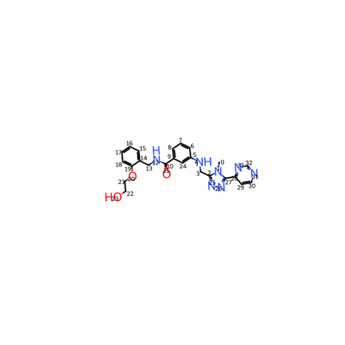 Cn1c(CNc2cccc(C(=O)NCc3ccccc3OCCO)c2)nnc1-c1ccncn1